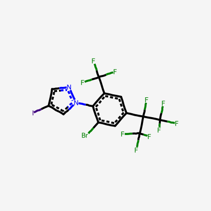 FC(F)(F)c1cc(C(F)(C(F)(F)F)C(F)(F)F)cc(Br)c1-n1cc(I)cn1